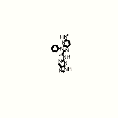 CNc1ccc2nc([C@H](C)Nc3ncc4nc[nH]c4n3)n(-c3ccccc3)c2n1